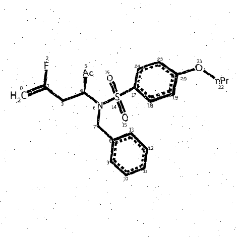 C=C(F)C[C@@H](C(C)=O)N(Cc1ccccc1)S(=O)(=O)c1ccc(OCCC)cc1